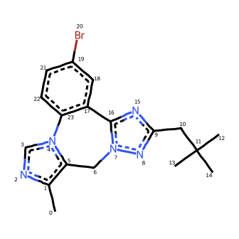 Cc1ncn2c1Cn1nc(CC(C)(C)C)nc1-c1cc(Br)ccc1-2